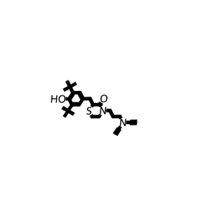 C#CN(C#C)CCCN1CCSC(Cc2cc(C(C)(C)C)c(O)c(C(C)(C)C)c2)C1=O